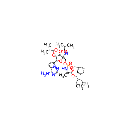 CCC(CC)COC(=O)[C@H](C)NP(=O)(OCc1ccccc1)OC[C@@]1(C#N)O[C@@H](c2ccc3c(N)ncnn23)[C@H](OC(=O)C(C)C)[C@@H]1OC(=O)C(C)C